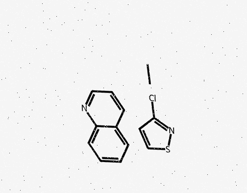 CC.Clc1ccsn1.c1ccc2ncccc2c1